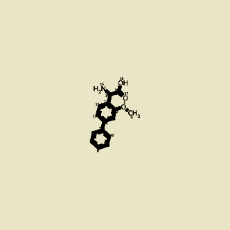 COc1cc(-c2ccccc2)ccc1C(N)C(=O)O